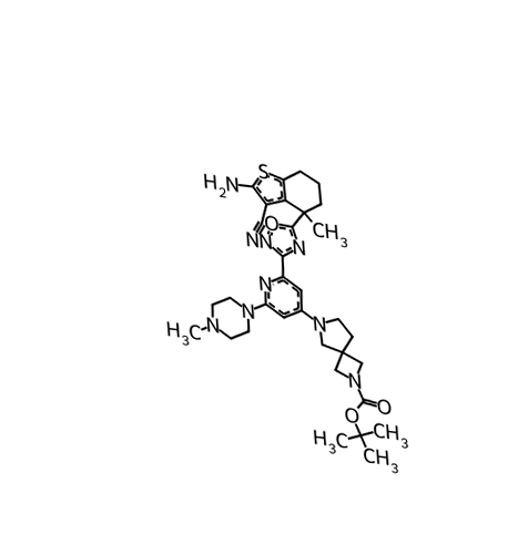 CN1CCN(c2cc(N3CCC4(CN(C(=O)OC(C)(C)C)C4)C3)cc(-c3noc(C4(C)CCCc5sc(N)c(C#N)c54)n3)n2)CC1